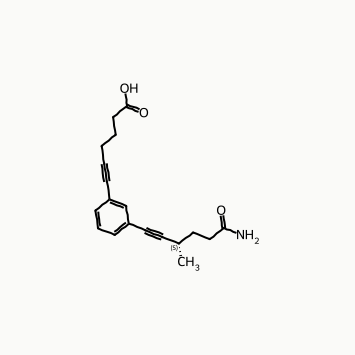 C[C@H](C#Cc1cccc(C#CCCCC(=O)O)c1)CCC(N)=O